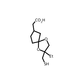 CCC1(CS)COC2(CCC(CC(=O)O)C2)O1